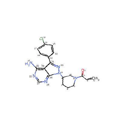 C=CC(=O)N1CCCC(n2nc(-c3ccc(Cl)cc3)c3c(N)ncnc32)C1